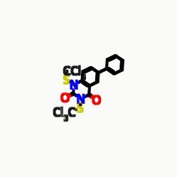 O=c1c2cc(-c3ccccc3)ccc2n(SC(Cl)(Cl)Cl)c(=O)n1SC(Cl)(Cl)Cl